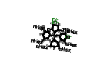 CCCCCCc1cc(CCCCCC)cc([Si](C2=[C]([Ti+3])CC=C2C)(c2cc(CCCCCC)cc(CCCCCC)c2)c2cc(CCCCCC)cc(CCCCCC)c2)c1.[Cl-].[Cl-].[Cl-]